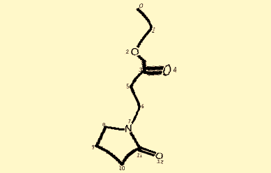 CCOC(=O)CCN1CCCC1=O